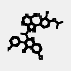 CC(C)Oc1ccc(-c2nn(C(C)c3nc4ccc(Cl)cn4c(=O)c3-c3cccc(F)c3)c3ncnc(N)c23)cc1F